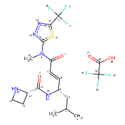 CC(C)C[C@@H](C=CC(=O)N(C)c1nnc(C(F)(F)F)s1)NC(=O)[C@@H]1CCN1.O=C(O)C(F)(F)F